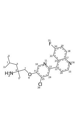 CC(C)CC(C)(N)COc1cnc(-c2ccnc3ccc(F)cc23)cc1Cl